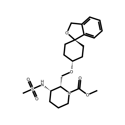 COC(=O)N1CCC[C@H](NS(C)(=O)=O)[C@@H]1CO[C@H]1CC[C@@]2(CC1)OCc1ccccc12